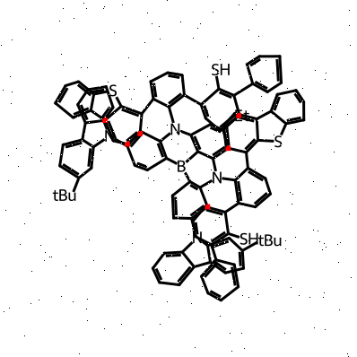 CCc1cc2c3c(c1)N(c1c(-c4cccc(-c5ccccc5)c4S)cccc1-c1cccc4c1sc1ccccc14)c1cc(-n4c5ccccc5c5ccc(C(C)(C)C)cc54)ccc1B3c1ccc(-n3c4ccccc4c4ccc(C(C)(C)C)cc43)cc1N2c1c(-c2cccc(-c3ccccc3)c2S)cccc1-c1cccc2c1sc1ccccc12